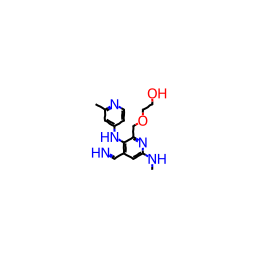 CNc1cc(C=N)c(Nc2ccnc(C)c2)c(COCCO)n1